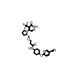 N#Cc1ccc(OC2CCC(NC(=O)CCOC[C@@H]3CCCN3c3cn[nH]c(=O)c3C(F)(F)F)CC2)nc1